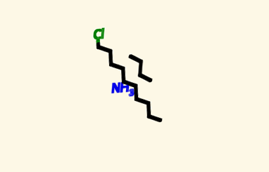 CCCC.CCCCCCCCCCCl.N